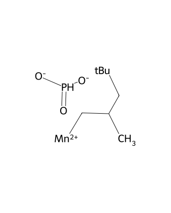 CC([CH2][Mn+2])CC(C)(C)C.O=[PH]([O-])[O-]